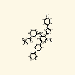 COc1nc(N2CCN(c3cccnc3)CC2)nc(N[C@@H]2CCCN(C(=O)OC(C)(C)C)C2)c1-c1nc(-c2ccc(F)cc2)cs1